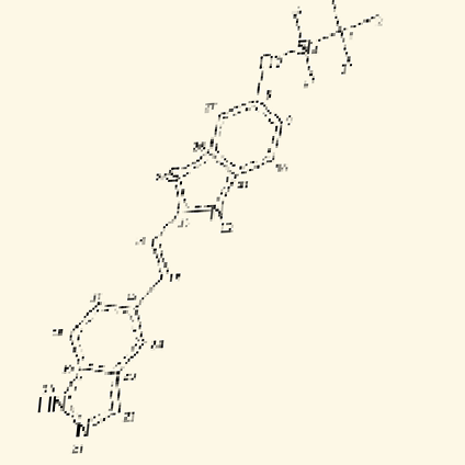 CC(C)(C)[Si](C)(C)Oc1ccc2nc(/C=C/c3ccc4[nH]ncc4c3)sc2c1